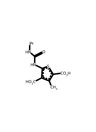 Cc1c(C(=O)O)sc(NC(=O)NC(C)C)c1C(=O)O